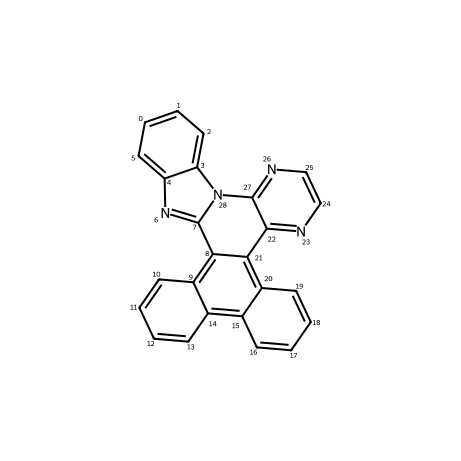 c1ccc2c(c1)nc1c3c4ccccc4c4ccccc4c3c3nccnc3n21